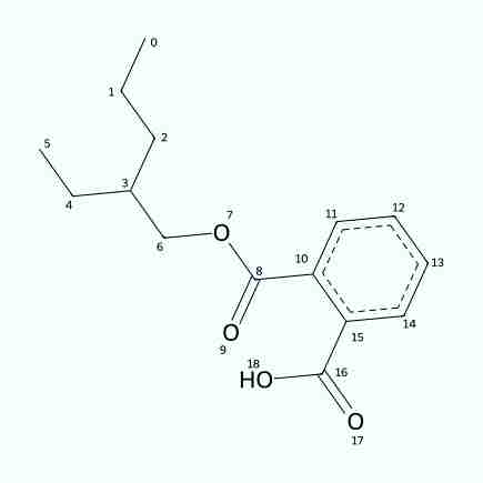 CCCC(CC)COC(=O)c1ccccc1C(=O)O